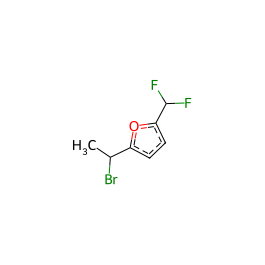 CC(Br)c1ccc(C(F)F)o1